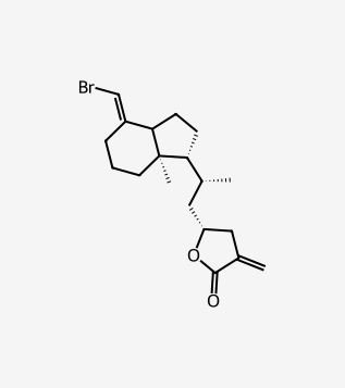 C=C1C[C@@H](C[C@@H](C)[C@H]2CCC3C(=CBr)CCC[C@@]32C)OC1=O